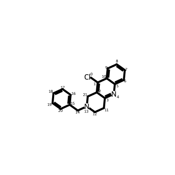 Clc1c2c(nc3ccccc13)CCN(Cc1ccccc1)C2